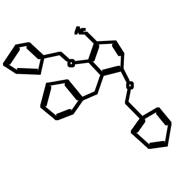 CC(=O)c1ccc(OCc2ccccc2)c(Cc2ccccc2)c1OCc1ccccc1